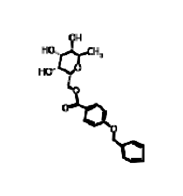 CC1O[C@H](COC(=O)c2ccc(OCc3ccccc3)cc2)[C@H](O)[C@H](O)[C@H]1O